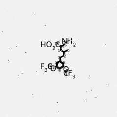 CC(CCc1cc(OC(F)(F)F)cc(OC(F)(F)F)c1)CC(CN)C(=O)O